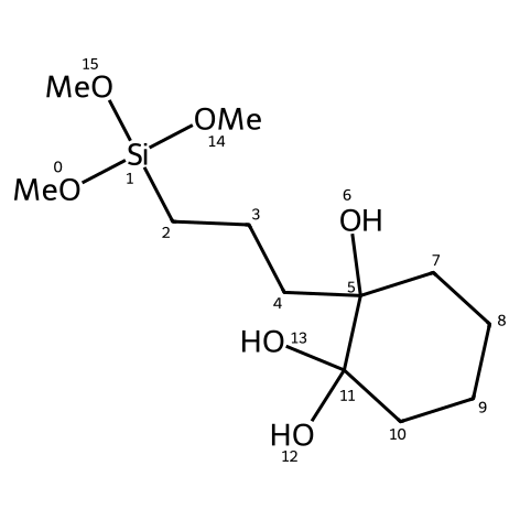 CO[Si](CCCC1(O)CCCCC1(O)O)(OC)OC